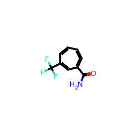 NC(=O)C1=C=CC=CC(C(F)(F)F)=C1